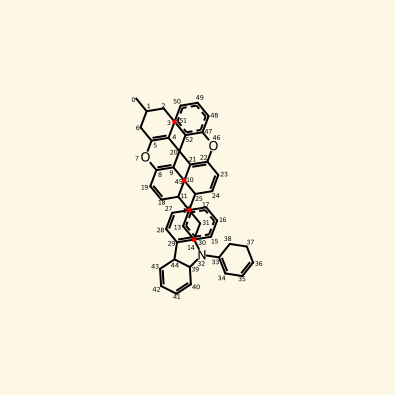 CC1CCC2=C(C1)OC1=C(CC(c3ccccc3)C=C1)C21C2=C(C=CC(C3C=CC4=C(C3)N(C3=CC=CCC3)C3C=CC=CC43)C2)Oc2ccccc21